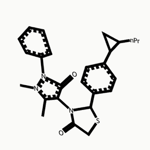 CCCC1CC1c1ccc(C2SCC(=O)N2c2c(C)n(C)n(-c3ccccc3)c2=O)cc1